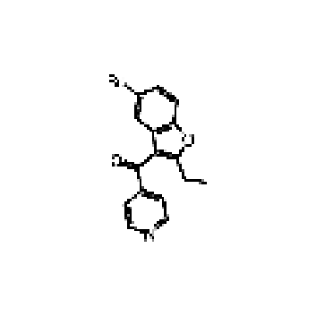 CCc1oc2ccc(Br)cc2c1C(=O)c1ccncc1